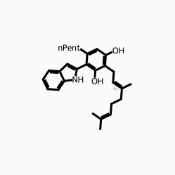 CCCCCc1cc(O)c(C/C=C(\C)CCC=C(C)C)c(O)c1-c1cc2ccccc2[nH]1